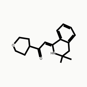 CC1(C)Cc2ccccc2C(=CC(=O)C2CCOCC2)N1